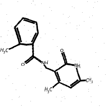 Cc1cc(C)c(CNC(=O)c2ccccc2C)c(=O)[nH]1